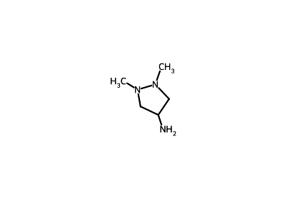 CN1CC(N)CN1C